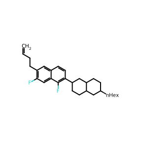 C=CCCc1cc2ccc(C3CCC4CC(CCCCCC)CCC4C3)c(F)c2cc1F